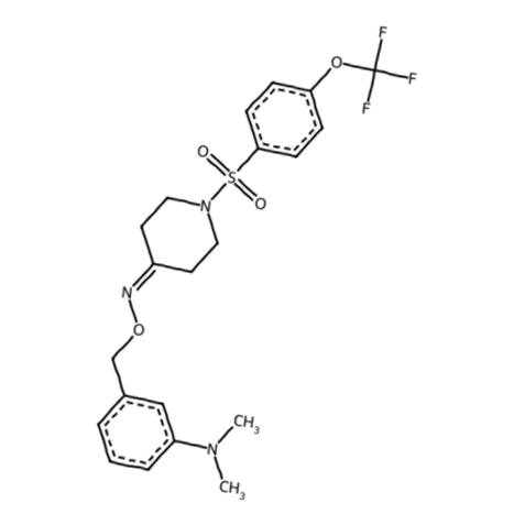 CN(C)c1cccc(CON=C2CCN(S(=O)(=O)c3ccc(OC(F)(F)F)cc3)CC2)c1